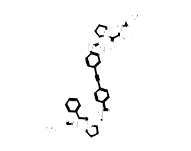 COC(=O)N[C@H](C(=O)N1CCC[C@H]1c1nc2ccc(C#Cc3ccc(C(=O)NC[C@@H]4CCCN4C(=O)[C@H](NC(=O)OC)c4ccccc4)cc3)cc2[nH]1)C(C)C